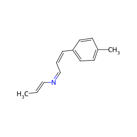 C/C=C/N=C\C=C/c1ccc(C)cc1